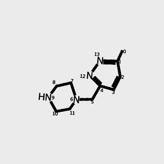 Cc1ccc(CN2CCNCC2)nn1